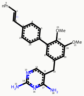 CCC/C=C/c1ccc(-c2cc(Cc3cnc(N)nc3N)cc(OC)c2OC)cc1